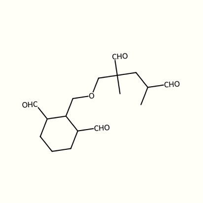 CC(C=O)CC(C)(C=O)COCC1C(C=O)CCCC1C=O